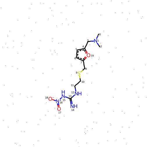 CN(C)Cc1ccc(CSCCNC(=N)N[N+](=O)[O-])o1